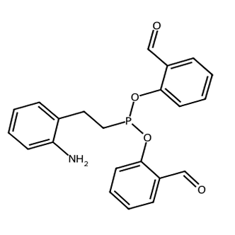 Nc1ccccc1CCP(Oc1ccccc1C=O)Oc1ccccc1C=O